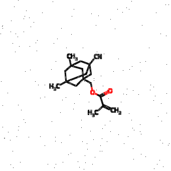 C=C(C)C(=O)OCC12CC3(C)CC(C)(CC(C#N)(C3)C1)C2